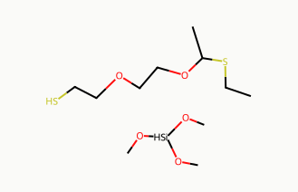 CCSC(C)OCCOCCS.CO[SiH](OC)OC